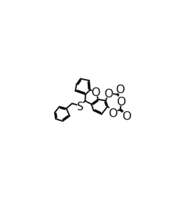 O=C1OC(=O)Oc2c(ccc3c2Oc2ccccc2C3SCc2ccccc2)O1